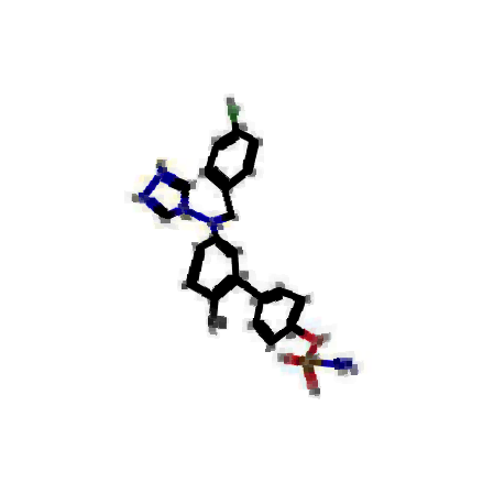 N#Cc1ccc(N(Cc2ccc(Br)cc2)n2cnnc2)cc1-c1ccc(OS(N)(=O)=O)cc1